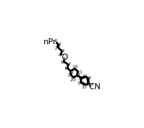 CCC/C=C/CCOCCCC1CCC(c2ccc(C#N)cc2)CC1